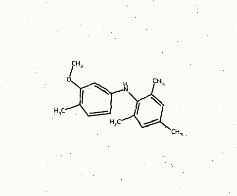 COc1cc(Nc2c(C)cc(C)cc2C)ccc1C